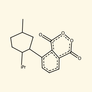 CC1CCC(C(C)C)C(c2cccc3c(=O)ooc(=O)c23)C1